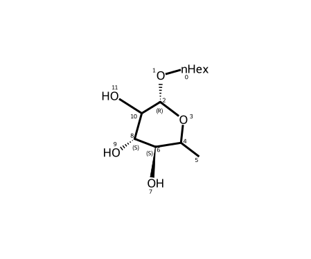 CCCCCCO[C@@H]1OC(C)[C@@H](O)[C@H](O)C1O